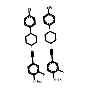 CCCCCCc1ccc(C#C[C@H]2CC[C@H](c3ccc(CC)cc3)CC2)cc1F.CCCCCCc1ccc(C#C[C@H]2CC[C@H](c3ccc(CCC)cc3)CC2)cc1F